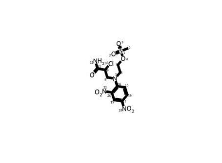 CS(=O)(=O)OCCN(CC(Cl)C(N)=O)c1ccc([N+](=O)[O-])cc1[N+](=O)[O-]